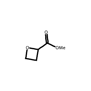 COC(=O)C1CCO1